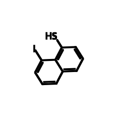 Sc1cccc2cccc(I)c12